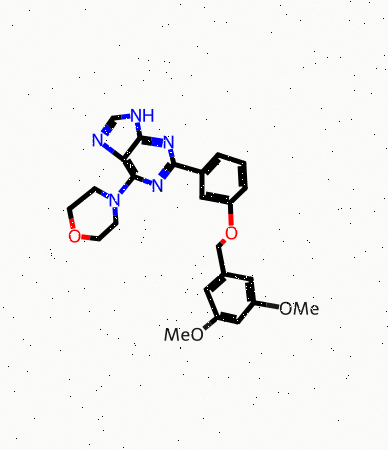 COc1cc(COc2cccc(-c3nc(N4CCOCC4)c4nc[nH]c4n3)c2)cc(OC)c1